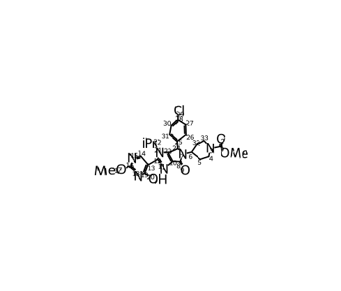 COC(=O)N1CCC(N2C(=O)c3nc(-c4cnc(OC)nc4O)n(C(C)C)c3C2c2ccc(Cl)cc2)CC1